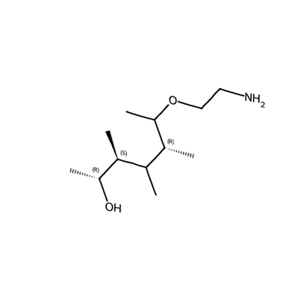 CC(OCCN)[C@H](C)C(C)[C@H](C)[C@@H](C)O